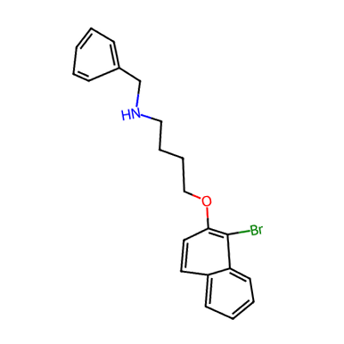 Brc1c(OCCCCNCc2ccccc2)ccc2ccccc12